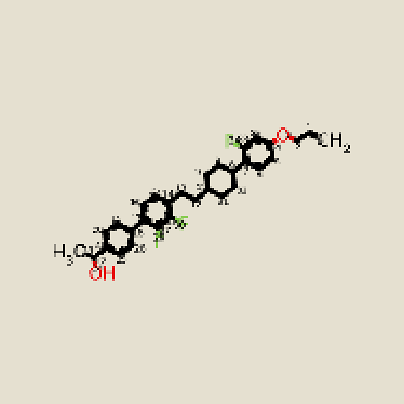 C=CCOc1ccc(C2CCC(CCc3ccc(-c4ccc(C(C)O)cc4)c(F)c3F)CC2)c(F)c1